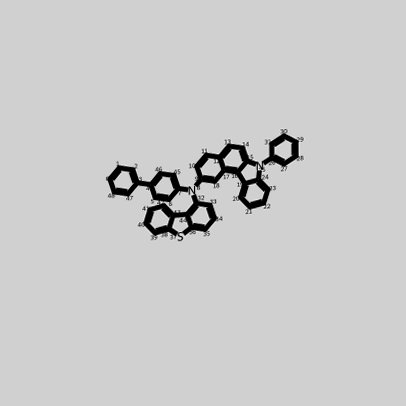 c1ccc(-c2ccc(N(c3ccc4ccc5c(c4c3)c3ccccc3n5-c3ccccc3)c3cccc4sc5ccccc5c34)cc2)cc1